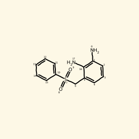 Nc1cccc(CS(=O)(=O)c2ccccc2)c1N